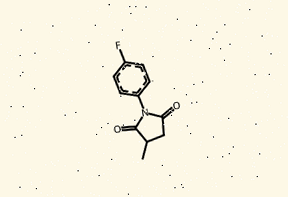 CC1CC(=O)N(c2[c]cc(F)cc2)C1=O